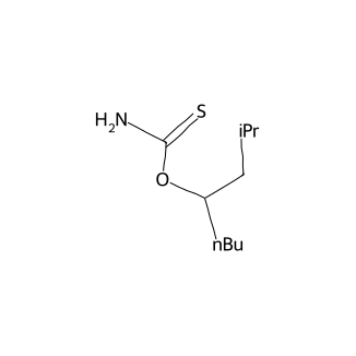 CCCCC(CC(C)C)OC(N)=S